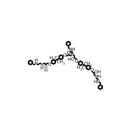 CC(C)(c1ccc(OCC(O)CNCCNCc2ccccc2)cc1)c1ccc(OCC(O)CN(CCNCc2ccccc2)CC(O)COc2ccc(C(C)(C)c3ccc(OCC(O)CNCCNCc4ccccc4)cc3)cc2)cc1